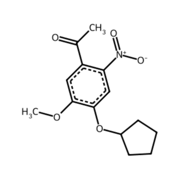 COc1cc(C(C)=O)c([N+](=O)[O-])cc1OC1CCCC1